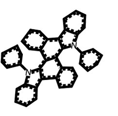 c1ccc(-n2c3ccccc3c3c4ccccc4c4c(c5ccccc5c5c6ccccc6n(-c6ccccc6)c54)c32)cc1